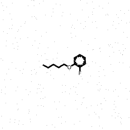 CCCCCOc1ccc[c]c1F